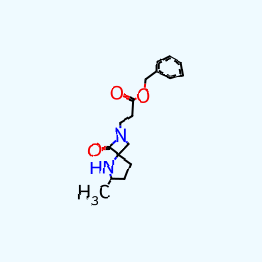 CC1CCC2(CN(CCC(=O)OCc3ccccc3)C2=O)N1